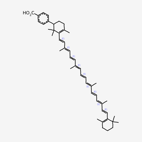 CC1=C(/C=C/C(C)=C/C=C/C(C)=C/C=C/C=C(C)/C=C/C=C(C)/C=C/C2=C(C)CCC(c3ccc(C(=O)O)cc3)C2(C)C)C(C)(C)CCC1